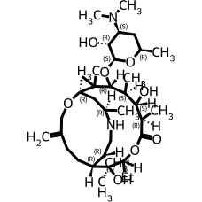 C=C1CC[C@@H]2[C@@H](C)CN[C@H](C)C[C@@]3(CC3(C)[C@H](O[C@@H]3O[C@H](C)C[C@H](N(C)C)[C@H]3O)[C@@H](C)[C@H](O)[C@@H](C)C(=O)O[C@H](CC)[C@@]2(C)O)OC1